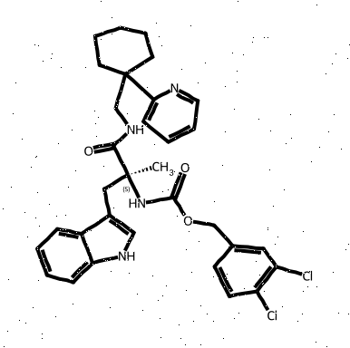 C[C@@](Cc1c[nH]c2ccccc12)(NC(=O)OCc1ccc(Cl)c(Cl)c1)C(=O)NCC1(c2ccccn2)CCCCC1